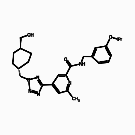 Cc1cc(-c2nnn(C[C@H]3CC[C@H](CO)CC3)n2)cc(C(=O)NCc2cccc(OC(C)C)c2)n1